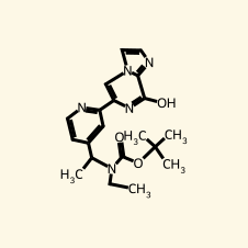 CCN(C(=O)OC(C)(C)C)C(C)c1ccnc(-c2cn3ccnc3c(O)n2)c1